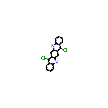 Clc1c2ccccc2nc2cc3c(Cl)c4ccccc4nc3cc12